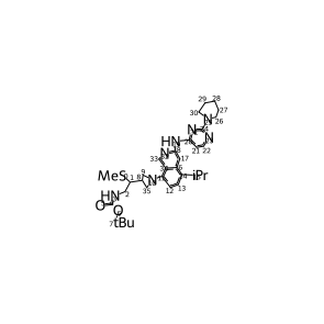 CSC(CNC(=O)OC(C)(C)C)C1CN(c2ccc(C(C)C)c3cc(Nc4ccnc(N5CCCCC5)n4)ncc23)C1